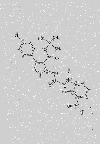 CC(C)(C)OC(=O)c1c(-c2ccc(Cl)cc2)csc1NC(=O)c1sc2c([N+](=O)[O-])cccc2[n+]1[O-]